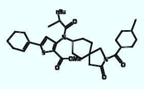 CCCCC(C)C(=O)N(c1cc(C2=CCCCC2)sc1C(=O)OC)C1CCC2(CC1)CC(=O)N(C(=O)C1CCC(C)CC1)C2